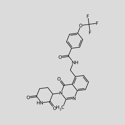 Cc1nc2cccc(CNC(=O)c3ccc(OC(F)(F)F)cc3)c2c(=O)n1C1CCC(=O)NC1=O